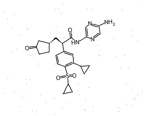 Nc1cnc(NC(=O)[C@H](C[C@H]2CCC(=O)C2)c2ccc(S(=O)(=O)C3CC3)c(C3CC3)c2)cn1